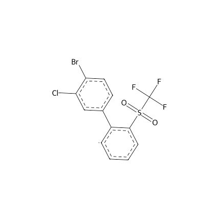 O=S(=O)(c1ccc[c]c1-c1ccc(Br)c(Cl)c1)C(F)(F)F